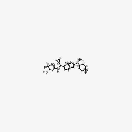 CC(CC(=O)N[C@H](c1ccn2cc(C(N)C3CCC(F)(F)CC3)nc2n1)C1CC1)C(F)(F)F